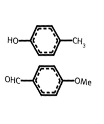 COc1ccc(C=O)cc1.Cc1ccc(O)cc1